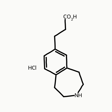 Cl.O=C(O)CCc1ccc2c(c1)CCNCC2